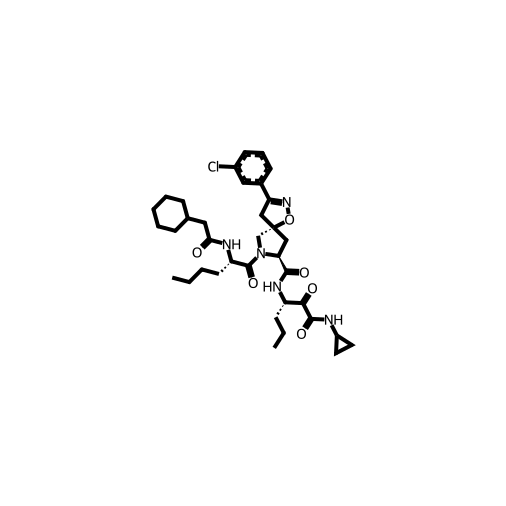 CCCC[C@H](NC(=O)CC1CCCCC1)C(=O)N1C[C@@]2(CC(c3cccc(Cl)c3)=NO2)C[C@H]1C(=O)N[C@@H](CCC)C(=O)C(=O)NC1CC1